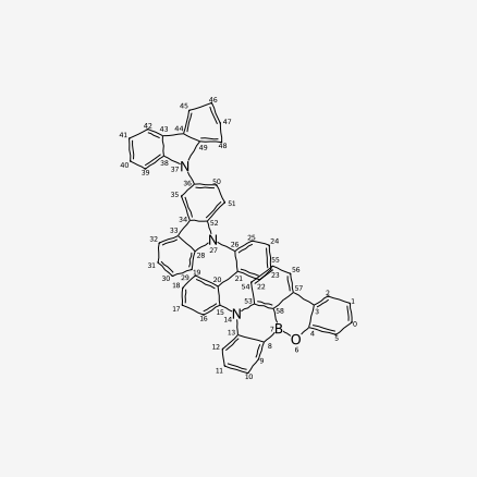 c1ccc2c(c1)OB1c3ccccc3N(c3ccccc3-c3ccccc3-n3c4ccccc4c4cc(-n5c6ccccc6c6ccccc65)ccc43)c3cccc-2c31